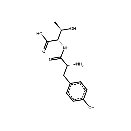 C[C@@H](O)[C@H](NC(=O)[C@H](N)Cc1ccc(O)cc1)C(=O)O